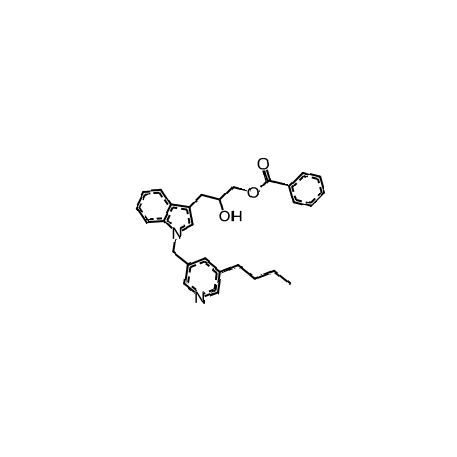 CCCCc1cncc(Cn2cc(CC(O)COC(=O)c3ccccc3)c3ccccc32)c1